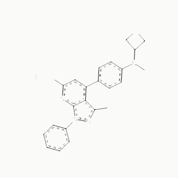 CCOC(=O)c1cc(-c2ccc(N(C)C3COC3)cc2)c2c(C)nn(-c3ccccc3)c2n1